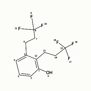 Oc1cccc(CCC(F)(F)F)c1CCC(F)(F)F